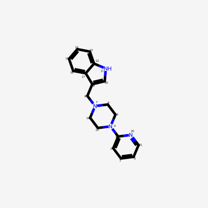 c1ccc(N2CCN(Cc3c[nH]c4ccccc34)CC2)nc1